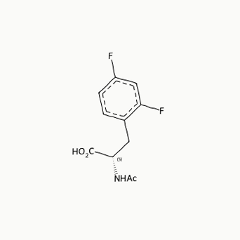 CC(=O)N[C@@H](Cc1ccc(F)cc1F)C(=O)O